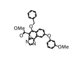 COC(=O)c1c(OCc2ccccc2)c2ccc(Oc3cccc(OC)c3)cc2c2ncnn12